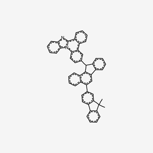 CC1(C)c2ccccc2-c2ccc(-c3cc4c(c5ccccc35)C(c3ccc5c(c3)c3ccccc3c3nc6ccccc6n53)c3ccccc3-4)cc21